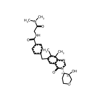 Cc1c(Cc2ccc(C(=O)NCC(=O)N(C)C)cc2)cc2c(=O)n([C@H]3CCOC[C@@H]3O)cnc2c1C